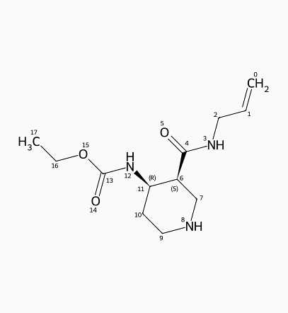 C=CCNC(=O)[C@H]1CNCC[C@H]1NC(=O)OCC